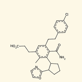 Cc1c(CCC(=O)O)cc(CCc2ccc(Cl)cc2)c(C(N)=O)c1C1CCCC1c1ncco1